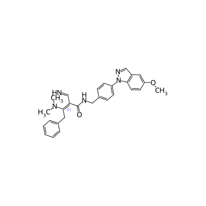 COc1ccc2c(cnn2-c2ccc(CNC(=O)/C(C=N)=C(\Cc3ccccc3)N(C)C)cc2)c1